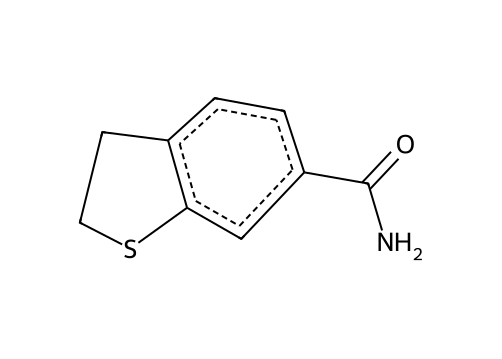 NC(=O)c1ccc2c(c1)SCC2